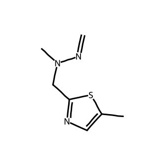 C=NN(C)Cc1ncc(C)s1